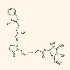 O=C(CCC/C=C\CN1C(=O)CC[C@@H]1/C=C/C(O)CCc1sc2ccccc2c1Cl)OC1O[C@H](C(=O)O)[C@@H](O)[C@H](O)[C@H]1O